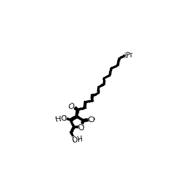 CC(C)CCCCCCCCCCCCC(=O)C1=C(O)C(CO)OC1=O